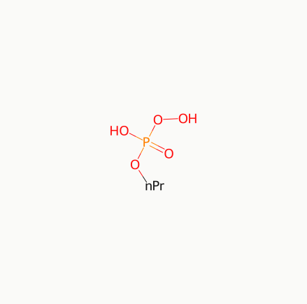 CCCOP(=O)(O)OO